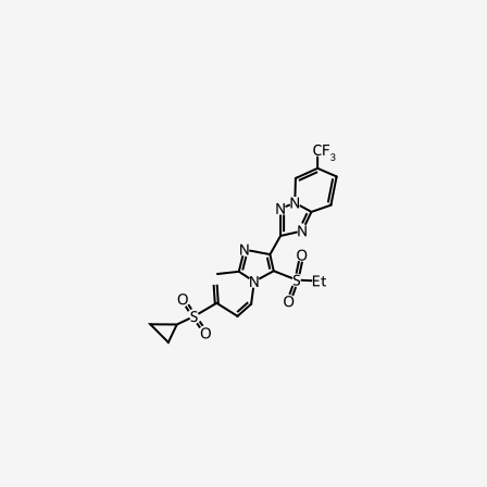 C=C(/C=C\n1c(C)nc(-c2nc3ccc(C(F)(F)F)cn3n2)c1S(=O)(=O)CC)S(=O)(=O)C1CC1